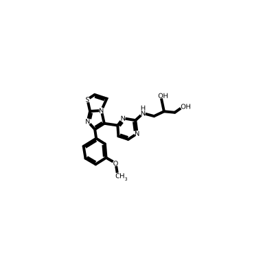 COc1cccc(-c2nc3sccn3c2-c2ccnc(NCC(O)CO)n2)c1